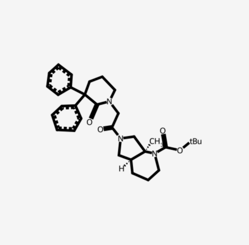 CC(C)(C)OC(=O)N1CCC[C@H]2CN(C(=O)CN3CCCC(c4ccccc4)(c4ccccc4)C3=O)C[C@]21C